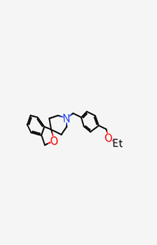 CCOCc1ccc(CN2CCC3(CC2)OCc2ccccc23)cc1